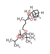 CC(C)COC(=O)C[C@H](CC[C@@H](C)B1O[C@@H]2C[C@@H]3C[C@@H](C3(C)C)[C@]2(C)O1)O[Si](C)(C)C(C)(C)C